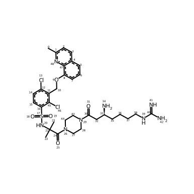 Cc1ccc2cccc(OCc3c(Cl)ccc(S(=O)(=O)NC(C)(C)C(=O)N4CCN(C(=O)C[C@@H](N)CCCCNC(=N)N)CC4)c3Cl)c2n1